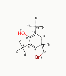 CC1(CBr)C=C(C(C)(C)C)C(O)=C(C(C)(C)C)C1